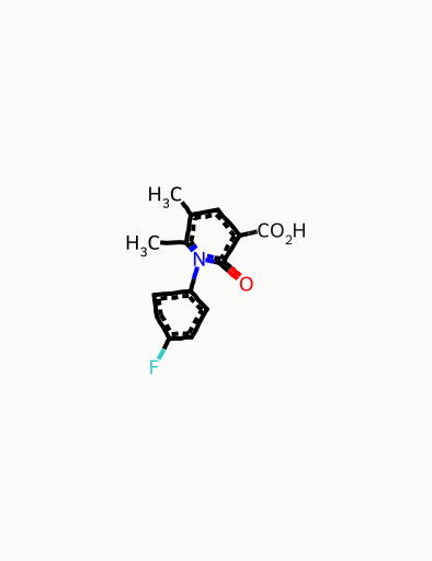 Cc1cc(C(=O)O)c(=O)n(-c2ccc(F)cc2)c1C